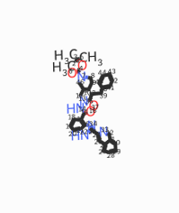 CC(C)(C)OC(=O)N1CCCC(CN(NC(=O)c2cccc3[nH]c(-c4cc5ccccc5cn4)nc23)C(=O)CCc2ccccc2)C1